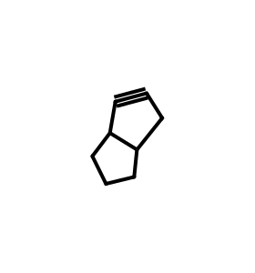 C1#CC2CCCC2C1